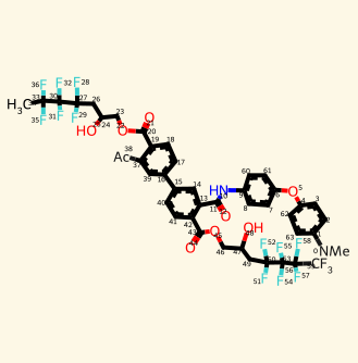 CNc1ccc(Oc2ccc(NC(=O)c3cc(-c4ccc(C(=O)OCC(O)CC(F)(F)C(F)(F)C(C)(F)F)c(C(C)=O)c4)ccc3C(=O)OCC(O)CC(F)(F)C(F)(F)C(F)(F)C(F)(F)F)cc2)cc1